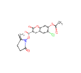 C=C1CCC(=O)N1OC(=O)c1cc2cc(Cl)c(OC(C)=O)cc2oc1=O